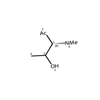 CN[C@@H](C(C)=O)C(C)O